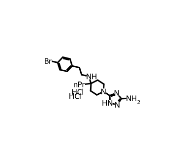 CCCC1(NCCc2ccc(Br)cc2)CCN(c2nc(N)n[nH]2)CC1.Cl.Cl